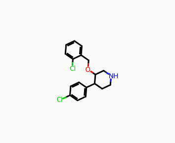 Clc1ccc(C2CCNCC2OCc2ccccc2Cl)cc1